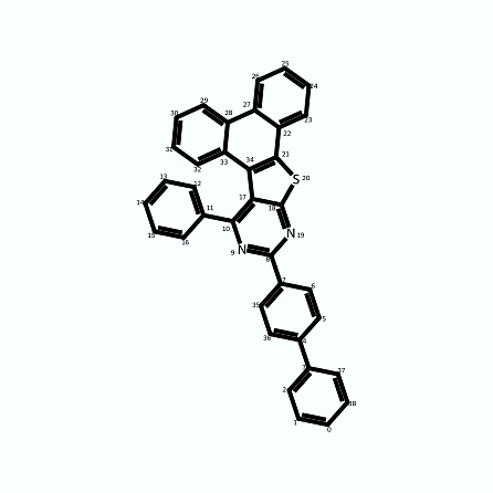 c1ccc(-c2ccc(-c3nc(-c4ccccc4)c4c(n3)sc3c5ccccc5c5ccccc5c34)cc2)cc1